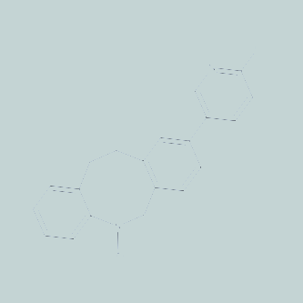 CC(=O)N1Cc2ccc(-c3ccc(O)nc3)cc2CCc2ccccc21